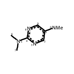 CNc1cnc(N(C)C)nc1